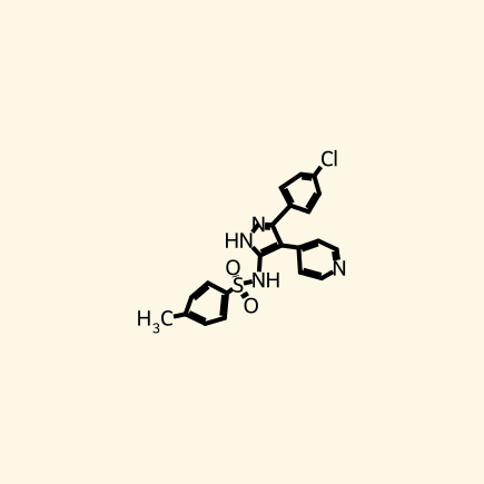 Cc1ccc(S(=O)(=O)Nc2[nH]nc(-c3ccc(Cl)cc3)c2-c2ccncc2)cc1